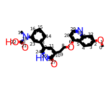 COc1ccc2c(OCCc3cc(-c4cccc(N(C)C(=O)O)c4)c[nH]c3=O)ccnc2c1